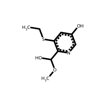 CCSc1cc(O)cnc1C(O)OC